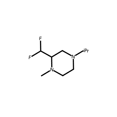 CC(C)N1CCN(C)C(C(F)F)C1